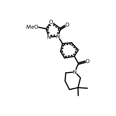 COc1nn(-c2ccc(C(=O)N3CCCC(C)(C)C3)cc2)c(=O)o1